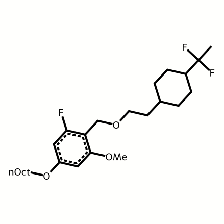 CCCCCCCCOc1cc(F)c(COCCC2CCC(C(C)(F)F)CC2)c(OC)c1